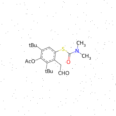 CC(=O)Oc1c(C(C)(C)C)cc(SC(=O)N(C)C)c(CC=O)c1C(C)(C)C